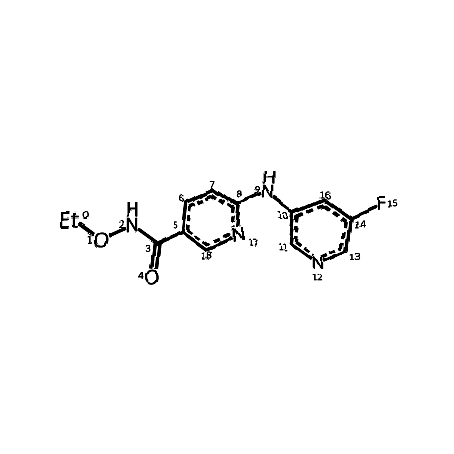 CCONC(=O)c1ccc(Nc2cncc(F)c2)nc1